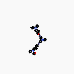 Cc1ccc(N(c2ccccc2)c2ccc3c(c2)C(C)(C)c2cc(/C=C/c4ccc5c(c4)c4cc(/C=C/c6ccc7c(c6)C(C)(C)c6cc(N(c8ccccc8)c8ccc(C)cc8)ccc6-7)ccc4n5-c4ccccc4)ccc2-3)cc1